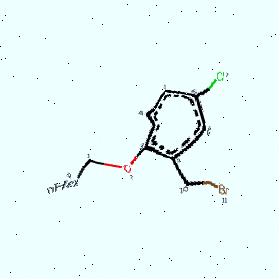 CCCCCCCOc1ccc(Cl)cc1CBr